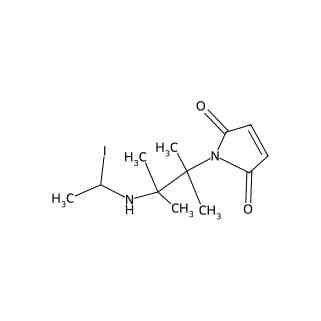 CC(I)NC(C)(C)C(C)(C)N1C(=O)C=CC1=O